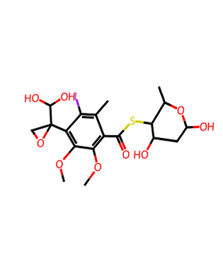 COc1c(OC)c(C2(C(O)O)CO2)c(I)c(C)c1C(=O)SC1C(O)CC(O)OC1C